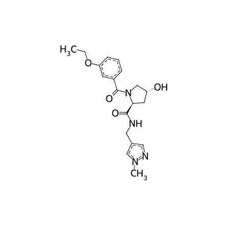 CCOc1cccc(C(=O)N2C[C@H](O)C[C@H]2C(=O)NCc2cnn(C)c2)c1